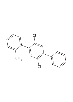 Cc1ccccc1-c1cc(Cl)c(-c2ccccc2)cc1Cl